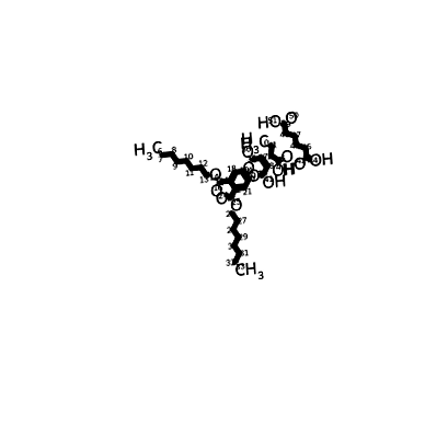 CCCC(O)O.CCCCCCCCOC(=O)c1ccccc1C(=O)OCCCCCCCC.O=C(O)/C=C\C(=O)O.O=C(O)CCCCC(=O)O